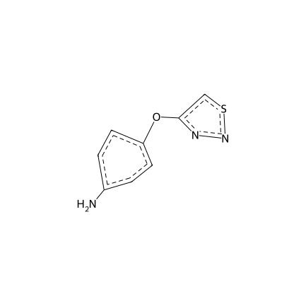 Nc1ccc(Oc2csnn2)cc1